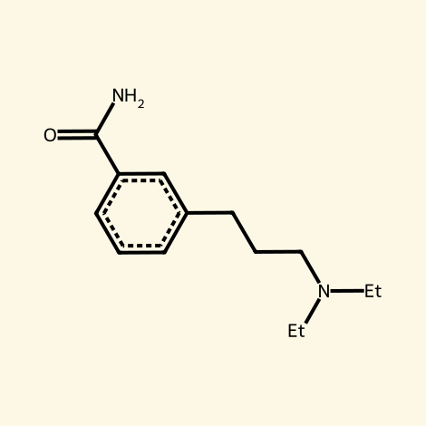 CCN(CC)CCCc1cccc(C(N)=O)c1